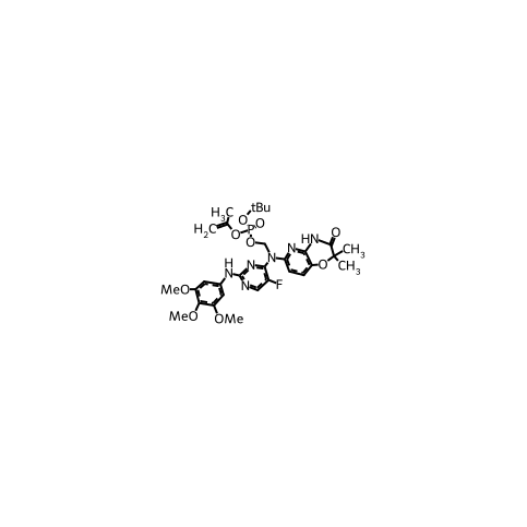 C=C(C)OP(=O)(OCN(c1ccc2c(n1)NC(=O)C(C)(C)O2)c1nc(Nc2cc(OC)c(OC)c(OC)c2)ncc1F)OC(C)(C)C